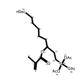 C=C(C)C(=O)OC(CCCCCCCCCCCCCCC)CC[Si](OC(C)=O)(OC(C)=O)OC(C)=O